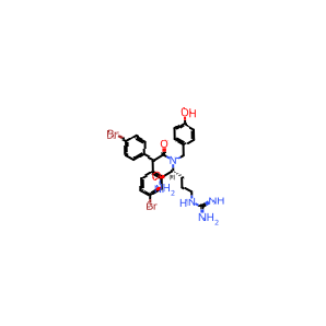 N=C(N)NCCC[C@H](C(N)=O)N(Cc1ccc(O)cc1)C(=O)C(c1ccc(Br)cc1)c1ccc(Br)cc1